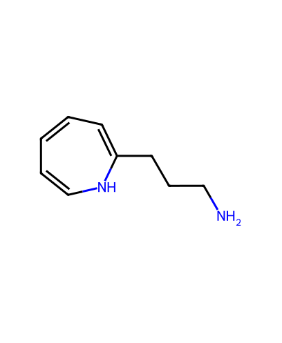 NCCCC1=CC=CC=CN1